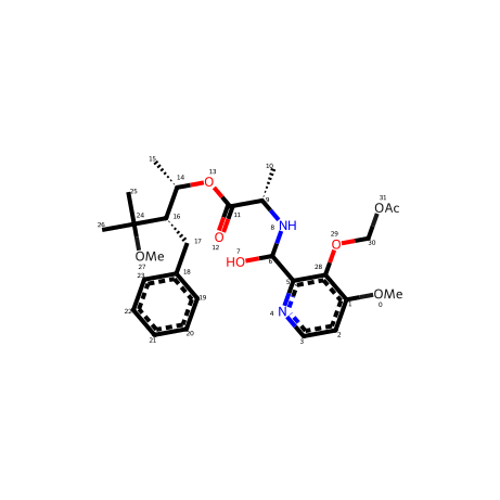 COc1ccnc(C(O)N[C@@H](C)C(=O)O[C@@H](C)[C@H](Cc2ccccc2)C(C)(C)OC)c1OCOC(C)=O